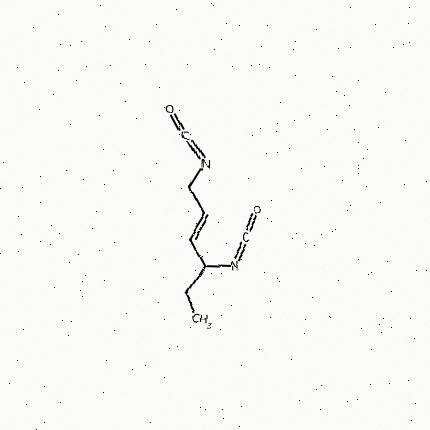 CCC(C=CCN=C=O)N=C=O